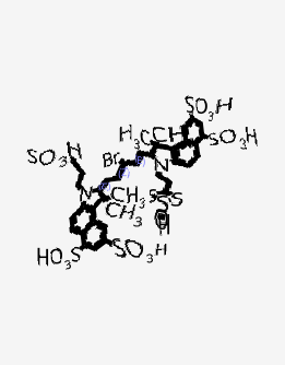 CC1(C)C(/C=C/C(Br)=C/C=C2/N(CCCS(=O)(=O)O)c3ccc4c(S(=O)(=O)O)cc(S(=O)(=O)O)cc4c3C2(C)C)=[N+](CCC23S[SH]2(=O)S3)c2ccc3c(S(=O)(=O)O)cc(S(=O)(=O)O)cc3c21